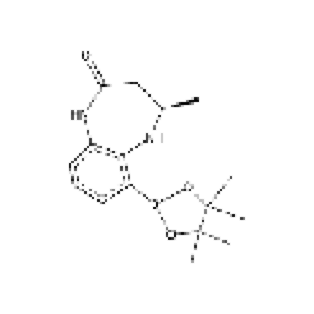 C[C@@H]1CC(=O)Nc2cccc(B3OC(C)(C)C(C)(C)O3)c2N1